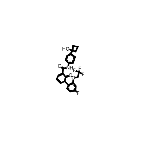 O=C(Nc1ccc(C2(O)CCC2)cc1)C1=CC=CC(c2ccc(F)cc2OCC(F)(F)F)C1=O